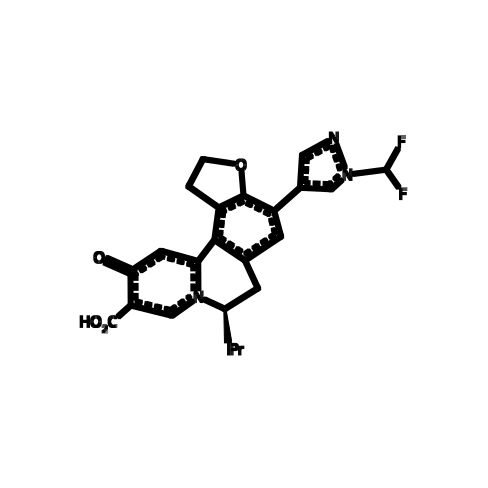 CC(C)[C@@H]1Cc2cc(-c3cnn(C(F)F)c3)c3c(c2-c2cc(=O)c(C(=O)O)cn21)CCO3